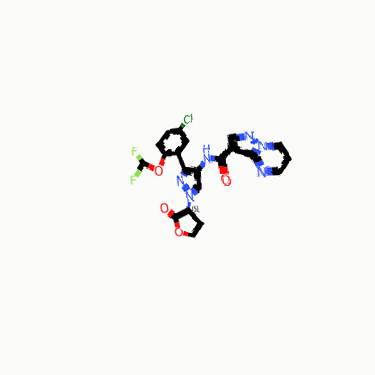 O=C(Nc1cn([C@H]2CCOC2=O)nc1-c1cc(Cl)ccc1OC(F)F)c1cnn2cccnc12